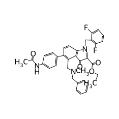 CCOC(=O)c1cn(Cc2c(F)cccc2F)c2ccc(-c3ccc(NC(C)=O)cc3)c(CN(C)Cc3ccccc3)c2c1=O